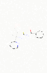 O=C(NC(=S)N[C@@](CF)(CCO)c1cc(Br)ccn1)c1ccccc1